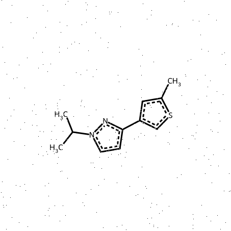 Cc1cc(-c2ccn(C(C)C)n2)cs1